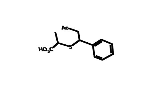 CC(=O)CC(SC(C)C(=O)O)c1ccccc1